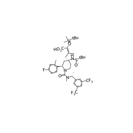 CC(C[C@]1(N[S+]([O-])C(C)(C)C)CCN(C(=O)N(C)[C@H](C)c2cc(C(F)(F)F)cc(C(F)(F)F)c2)[C@@H](c2ccc(F)cc2C)C1)=C(O[Si](C)(C)C(C)(C)C)C(=O)O